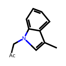 CC(=O)Cn1cc(C)c2ccccc21